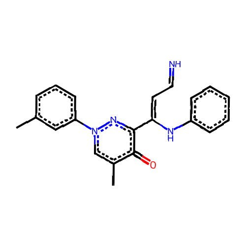 Cc1cccc(-n2cc(C)c(=O)c(/C(=C/C=N)Nc3ccccc3)n2)c1